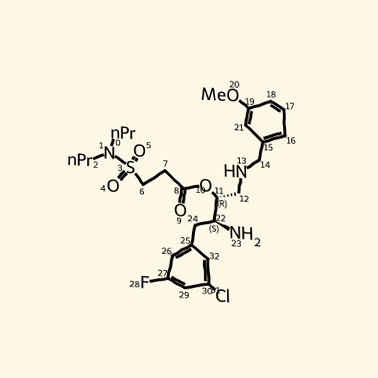 CCCN(CCC)S(=O)(=O)CCC(=O)O[C@H](CNCc1cccc(OC)c1)[C@@H](N)Cc1cc(F)cc(Cl)c1